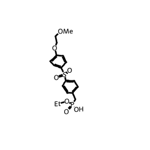 CCOP(=O)(O)Cc1ccc(S(=O)(=O)c2ccc(OCCOC)cc2)cc1